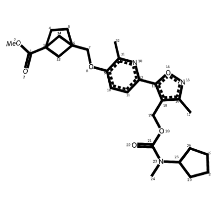 COC(=O)C12CCC(COc3ccc(-c4onc(C)c4COC(=O)N(C)C4CCCC4)nc3C)(C1)C2